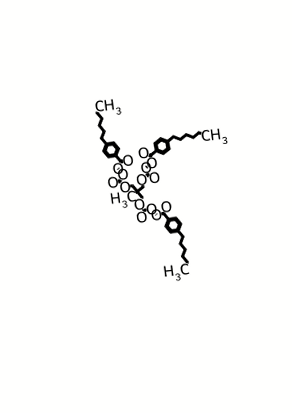 CCCCCCc1ccc(C(=O)OOC(=O)OCC(C)(COC(=O)OOC(=O)c2ccc(CCCCCC)cc2)COC(=O)OOC(=O)c2ccc(CCCCCC)cc2)cc1